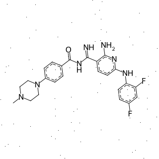 CN1CCN(c2ccc(C(=O)NC(=N)c3ccc(Nc4ccc(F)cc4F)nc3N)cc2)CC1